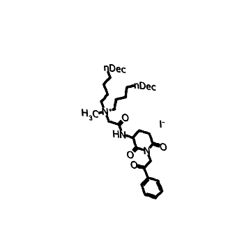 CCCCCCCCCCCCCC[N+](C)(CCCCCCCCCCCCCC)CC(=O)NC1CCC(=O)N(CC(=O)c2ccccc2)C1=O.[I-]